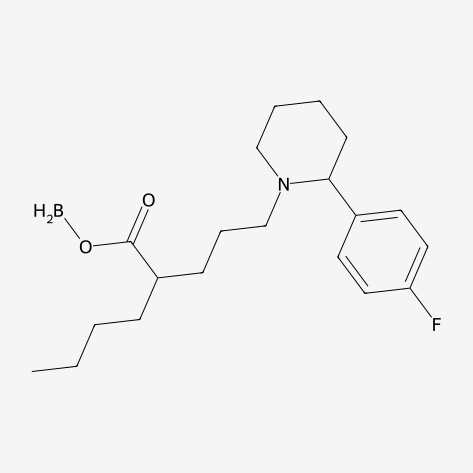 BOC(=O)C(CCCC)CCCN1CCCCC1c1ccc(F)cc1